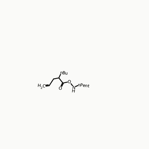 C=CCC(CCCC)C(=O)ONCCCCC